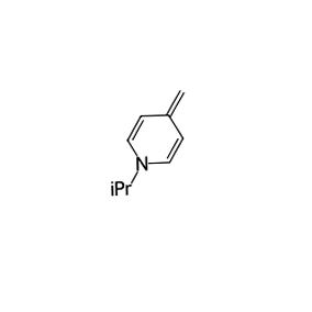 C=C1C=CN(C(C)C)C=C1